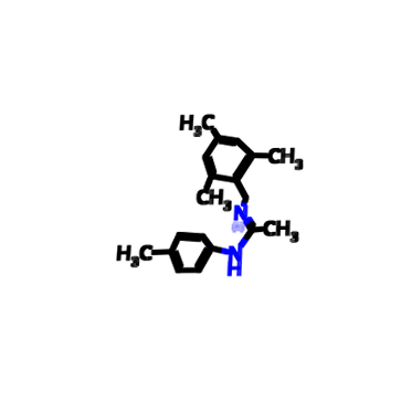 C/C(=N\Cc1c(C)cc(C)cc1C)Nc1ccc(C)cc1